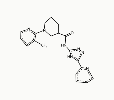 O=C(Nc1nnc(-c2ccccn2)[nH]1)C1CCCN(c2ncccc2C(F)(F)F)C1